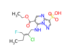 CCOC(=O)c1cnc2c(S(=O)(=O)O)cnn2c1NCC(Cl)=C(CC)CF